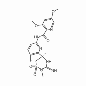 COc1cnc(C(=O)Nc2ccc(F)c([C@]3(C)CS(=O)(=O)N(C)C(=N)N3)n2)c(OC)c1